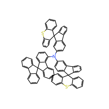 c1ccc2c(c1)Sc1ccccc1C21c2ccccc2-c2cc(N(c3ccc4c(c3)C3(c5ccccc5Sc5ccccc53)c3ccccc3-4)c3cccc4c3-c3ccccc3C43c4ccccc4-c4ccccc43)ccc21